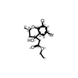 CCOC(=O)C[C@]1(O)C[C@@H](C)Oc2c(Cl)cc(Br)cc21